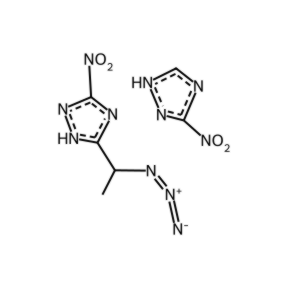 CC(N=[N+]=[N-])c1nc([N+](=O)[O-])n[nH]1.O=[N+]([O-])c1nc[nH]n1